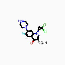 O=C(O)c1cn(C2CC2(Cl)Cl)c2cc(N3CCNCC3)c(F)cc2c1=O